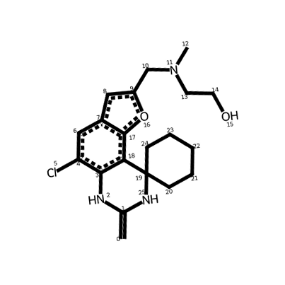 C=C1Nc2c(Cl)cc3cc(CN(C)CCO)oc3c2C2(CCCCC2)N1